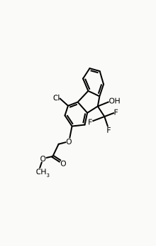 COC(=O)COc1cc(Cl)c2c(c1)C(O)(C(F)(F)F)c1ccccc1-2